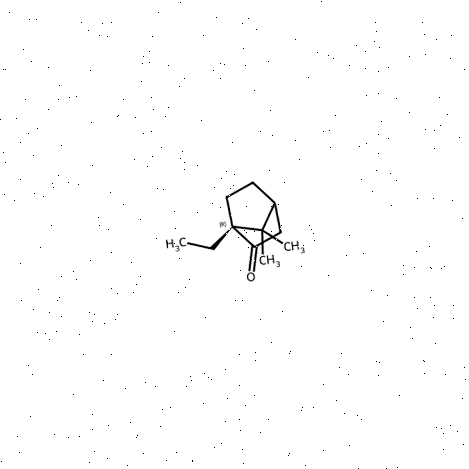 CC[C@]12CCC(CC1=O)C2(C)C